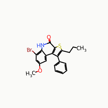 CCCc1sc2c(=O)[nH]c3c(Br)cc(OC)cc3c2c1-c1ccccc1